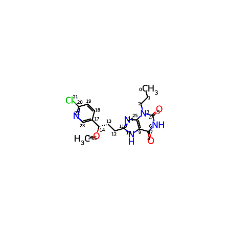 CCCn1c(=O)[nH]c(=O)c2[nH]c(CC[C@H](OC)c3ccc(Cl)nc3)nc21